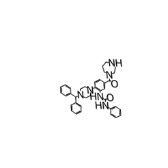 O=C(Nc1ccccc1)Nc1cc(C(=O)N2CCCNCC2)ccc1N1CCN(C(c2ccccc2)c2ccccc2)CC1